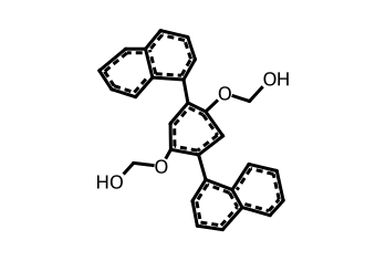 OCOc1cc(-c2cccc3ccccc23)c(OCO)cc1-c1cccc2ccccc12